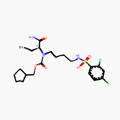 CC(C)C[C@@H](C(N)=O)N(CCCCNS(=O)(=O)c1ccc(F)cc1Cl)C(=O)OCC1CCCC1